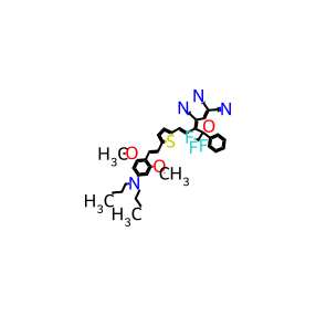 CCCCN(CCCC)c1cc(OC)c(C=Cc2ccc(C=CC3=C(C#N)C(=C(C#N)C#N)OC3(c3ccccc3)C(F)(F)F)s2)c(OC)c1